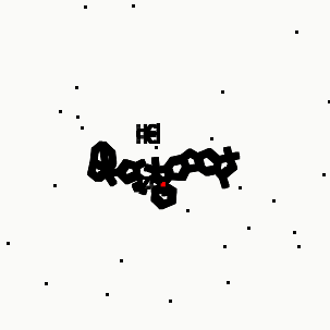 Cl.Cl.[CH2]=[Zr]([CH3])([C]1=CC(C2(C)C3CC4CC(C3)CC2C4)=CC1C)([C]1=C(C)c2cc3c(cc2C1(C)C)Cc1cc2c(cc1-3)C(C)=CC2(C)C)[c]1ccccc1